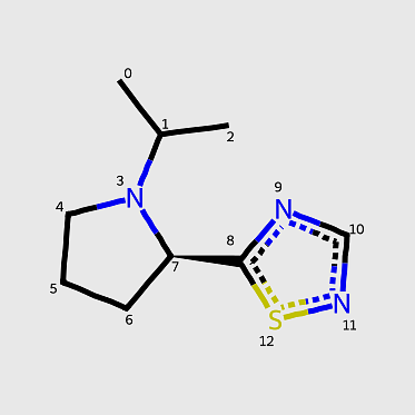 CC(C)N1CCC[C@@H]1c1ncns1